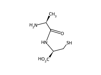 C[C@H](N)C(=O)N[C@@H](CS)C(=O)O